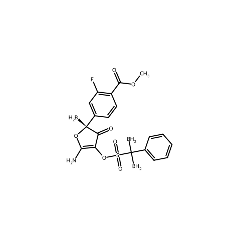 BC(B)(c1ccccc1)S(=O)(=O)OC1=C(N)O[C@](B)(c2ccc(C(=O)OC)c(F)c2)C1=O